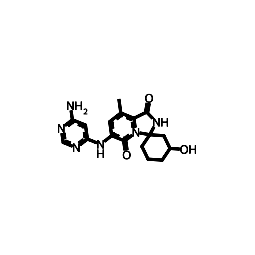 Cc1cc(Nc2cc(N)ncn2)c(=O)n2c1C(=O)NC21CCCC(O)C1